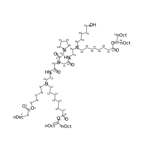 CCCCCCCCCCCC(=O)OCCCCCN(CCCCCCCC(=O)OC(CCCCCCCC)CCCCCCCC)CCNC(=O)CN(CC(=O)NCCN(CCCCCO)CCCCCCCC(=O)OC(CCCCCCCC)CCCCCCCC)C(=O)CN1CCCC1